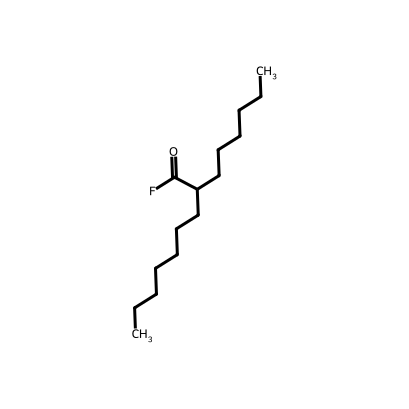 CCCCCCCC(CCCCCC)C(=O)F